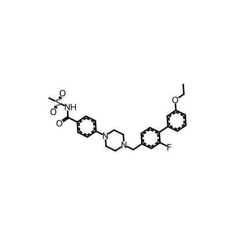 CCOc1cccc(-c2ccc(CN3CCN(c4ccc(C(=O)NS(C)(=O)=O)cc4)CC3)cc2F)c1